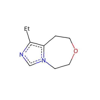 CCc1ncn2c1CCOCC2